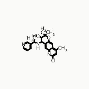 Cc1cc(Cl)nc2cc3c(cc12)OC(C)(C)C(O)C3NC(C)c1cccnc1